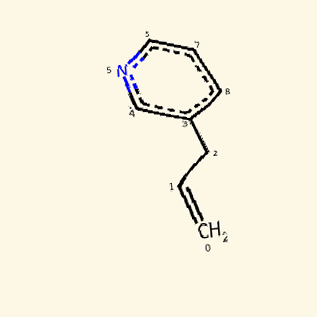 C=CCc1[c]nccc1